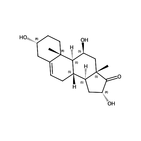 C[C@]12CC[C@@H](O)CC1=CC[C@@H]1[C@@H]2[C@@H](O)C[C@]2(C)C(=O)[C@H](O)C[C@@H]12